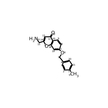 Cc1ccc(COc2ccc3c(=O)cc(CN)oc3c2)cc1